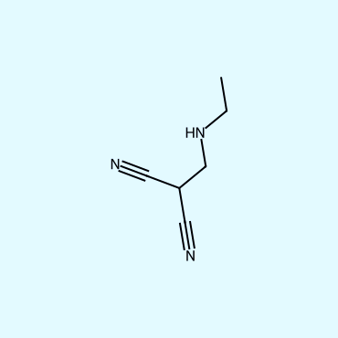 CCNCC(C#N)C#N